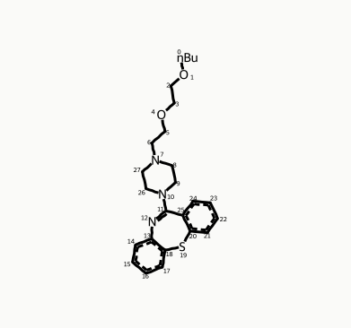 CCCCOCCOCCN1CCN(C2=Nc3ccccc3Sc3ccccc32)CC1